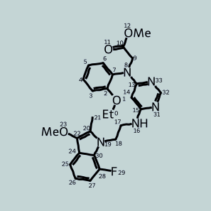 CCOc1ccccc1N(CC(=O)OC)c1cc(NCCn2c(C)c(OC)c3cccc(F)c32)ncn1